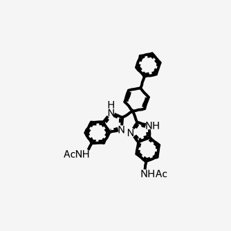 CC(=O)Nc1ccc2[nH]c(C3(c4nc5cc(NC(C)=O)ccc5[nH]4)C=CC(c4ccccc4)C=C3)nc2c1